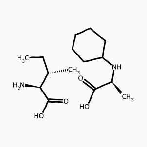 CC[C@H](C)[C@H](N)C(=O)O.C[C@H](NC1CCCCC1)C(=O)O